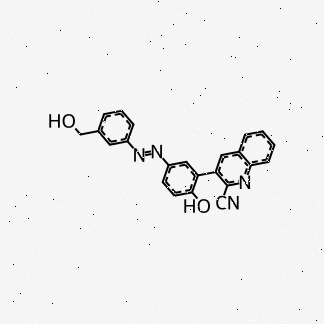 N#Cc1nc2ccccc2cc1-c1cc(/N=N/c2cccc(CO)c2)ccc1O